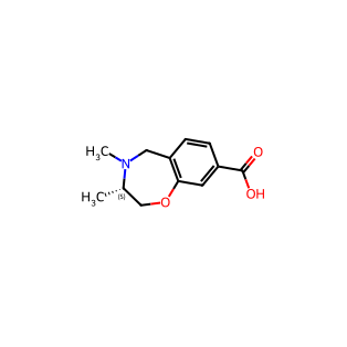 C[C@H]1COc2cc(C(=O)O)ccc2CN1C